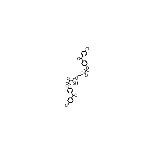 CC(C)(Oc1ccc(C(=O)c2ccc(Cl)cc2)cc1)C(=O)OCCOCC(S)C(=O)C(C)(C)Oc1ccc(C(=O)c2ccc(Cl)cc2)cc1